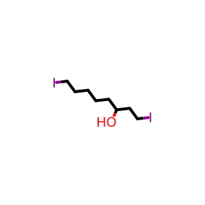 OC(CCI)CCCCCI